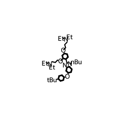 CCCCn1c(-c2ccc(OCCCN(CC)CC)cc2OCCCN(CC)CC)nc2cc(Oc3ccc(C(C)(C)C)cc3)ccc21